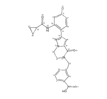 O=C(O)c1cccc(CN2CCn3nc(-c4ccc(Cl)cc4NC(=O)C4CC4)cc3C2=O)c1